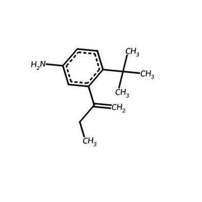 C=C(CC)c1cc(N)ccc1C(C)(C)C